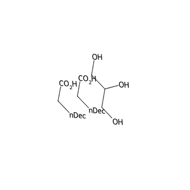 CCCCCCCCCCCC(=O)O.CCCCCCCCCCCC(=O)O.OCC(O)CO